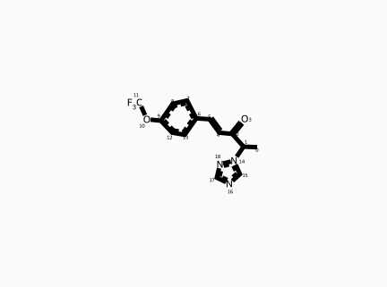 CC(C(=O)C=Cc1ccc(OC(F)(F)F)cc1)n1cncn1